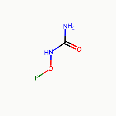 NC(=O)NOF